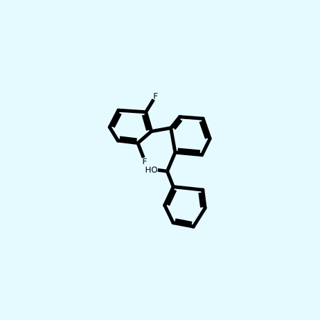 OC(c1ccccc1)c1ccccc1-c1c(F)cccc1F